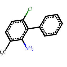 Cc1ccc(Cl)c(-c2ccccc2)c1N